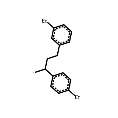 [CH2]C(CCc1cccc(CC)c1)c1ccc(CC)cc1